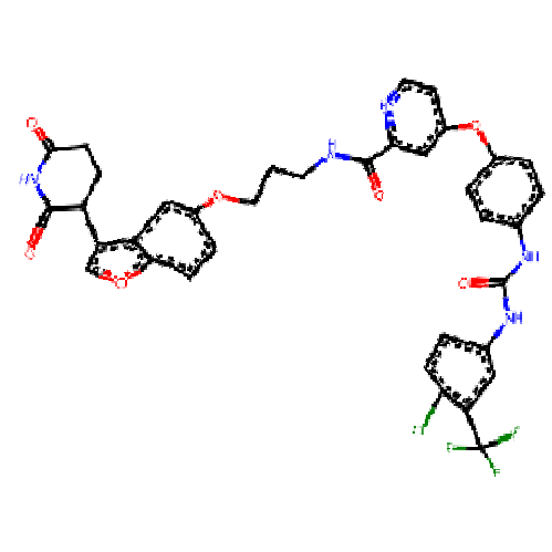 O=C1CCC(c2coc3ccc(OCCCNC(=O)c4cc(Oc5ccc(NC(=O)Nc6ccc(Cl)c(C(F)(F)F)c6)cc5)ccn4)cc23)C(=O)N1